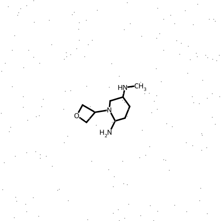 CNC1CCC(N)N(C2COC2)C1